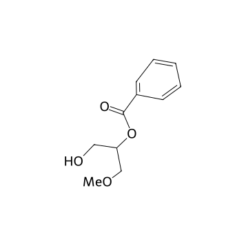 COCC(CO)OC(=O)c1ccccc1